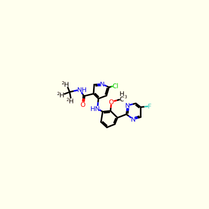 [2H]C([2H])([2H])NC(=O)c1cnc(Cl)cc1Nc1cccc(-c2ncc(F)cn2)c1OC